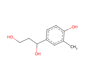 Cc1cc(C(O)CCO)ccc1O